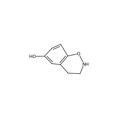 Oc1ccc2c(c1)CCNO2